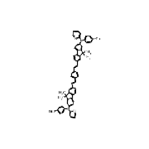 CC(C)(C)c1ccc(N(c2ccc3c(c2)C(C)(C)c2cc(/C=C/c4ccc(/C=C/c5ccc6c(c5)C(C)(C)c5cc(N(c7ccc(C(C)(C)C)cc7)c7ccccn7)ccc5-6)cc4)ccc2-3)c2ccccn2)cc1